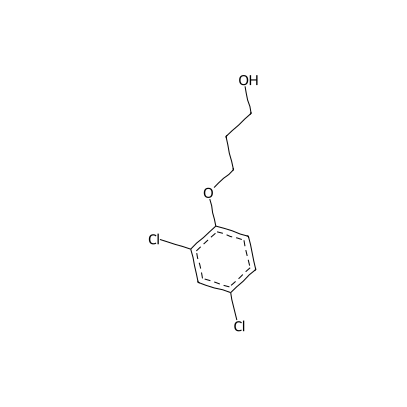 OCCCOc1ccc(Cl)cc1Cl